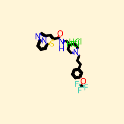 Cl.Cl.O=C(NCC1CCN(CCCc2cccc(OC(F)(F)F)c2)CC1)C1=Cc2cnc3cccc(n23)S1